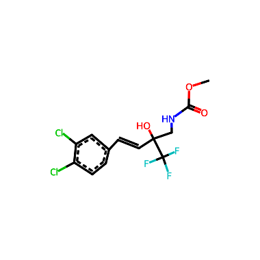 COC(=O)NCC(O)(/C=C/c1ccc(Cl)c(Cl)c1)C(F)(F)F